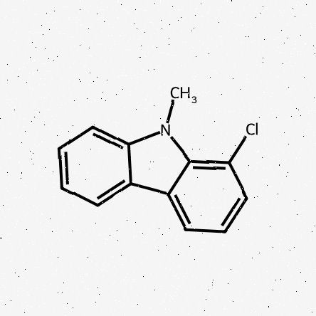 Cn1c2ccccc2c2cccc(Cl)c21